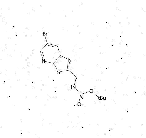 CC(C)(C)OC(=O)NCc1nc2cc(Br)cnc2s1